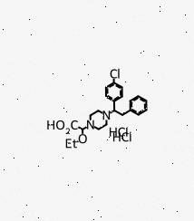 CCOC(C(=O)O)N1CCN(C(Cc2ccccc2)c2ccc(Cl)cc2)CC1.Cl.Cl